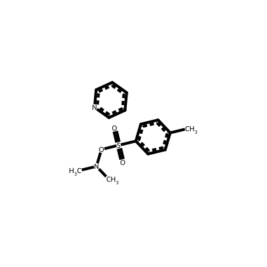 Cc1ccc(S(=O)(=O)ON(C)C)cc1.c1ccncc1